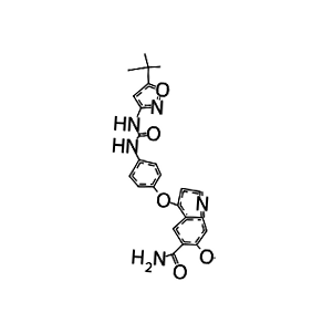 COc1cc2nccc(Oc3ccc(NC(=O)Nc4cc(C(C)(C)C)on4)cc3)c2cc1C(N)=O